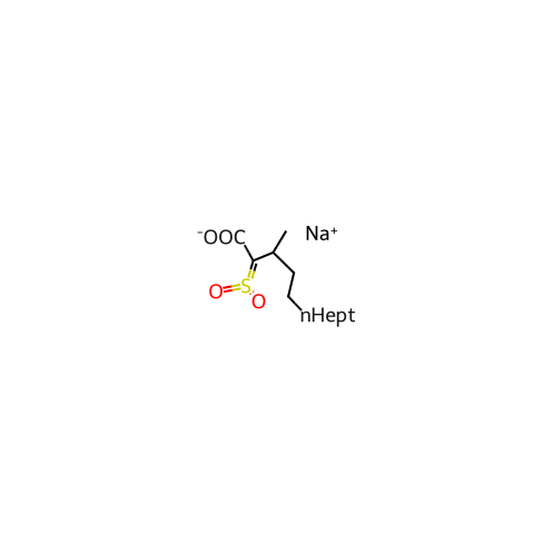 CCCCCCCCCC(C)C(C(=O)[O-])=S(=O)=O.[Na+]